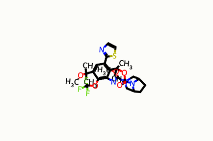 COC(C)(C)c1cc(-c2nccs2)c2oc(N3CC4CCC(C3)N4C(=O)OC(C)(C)C)nc2c1OC(F)(F)F